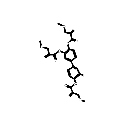 C=C(COC)C(=O)Oc1ccc(-c2ccc(OC(=O)C(=C)COC)c(OC(=O)C(=C)COC)c2)cc1F